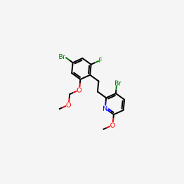 COCOc1cc(Br)cc(F)c1CCc1nc(OC)ccc1Br